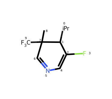 CC(C)C1C(F)=CN=CC1(C)C(F)(F)F